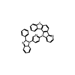 C1=CC2=NC(c3ccccc3)N(c3ccc(-n4c5cccnc5c5ccc6sc7ccccc7c6c54)nc3)C2C=C1